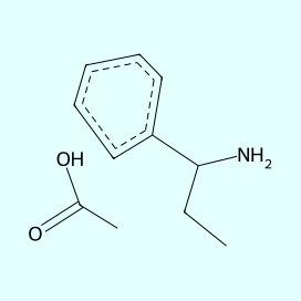 CC(=O)O.CCC(N)c1ccccc1